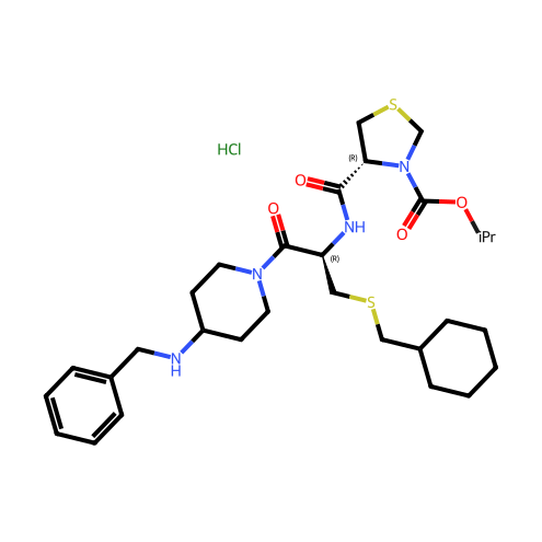 CC(C)OC(=O)N1CSC[C@H]1C(=O)N[C@@H](CSCC1CCCCC1)C(=O)N1CCC(NCc2ccccc2)CC1.Cl